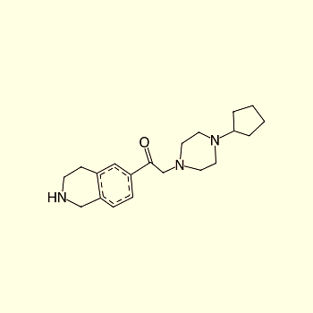 O=C(CN1CCN(C2CCCC2)CC1)c1ccc2c(c1)CCNC2